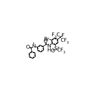 CN(C(=O)c1ccccc1)c1cccc(C(=O)Nc2c(Br)cc(C(F)(C(F)(F)F)C(F)(F)F)cc2[S+]([O-])C(F)(F)F)c1